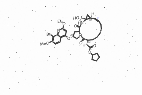 CCOc1cc(O[C@@H]2CC3C(=O)NC4(C(=O)O)C[C@H]4/C=C\CCCCC[C@H](NC(=O)OC4CCCC4)C(=O)N3C2)c2ccc(OC)c(Br)c2n1